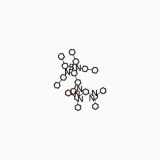 c1ccc(-c2ccc(N3c4ccc(-c5ccccc5)cc4B4c5cc(-c6ccccc6)ccc5N(c5ccc(-c6ccccc6)cc5)c5cc(-c6ccc7c(c6)c6ccccc6n7-c6ccc(-c7nc(-c8ccccc8)cc(-c8ccccc8)n7)cc6-c6nc(-c7ccccc7)cc(-c7ccccc7)n6)cc3c54)cc2)cc1